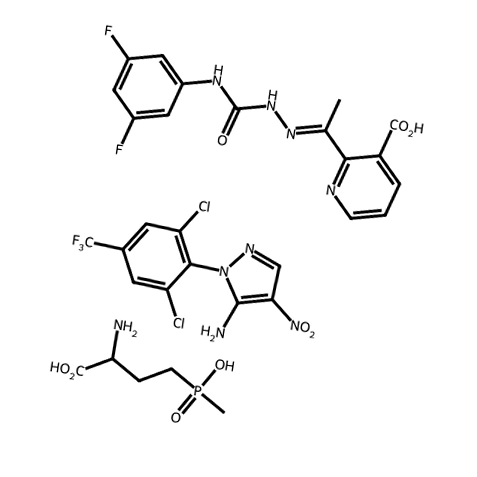 C/C(=N\NC(=O)Nc1cc(F)cc(F)c1)c1ncccc1C(=O)O.CP(=O)(O)CCC(N)C(=O)O.Nc1c([N+](=O)[O-])cnn1-c1c(Cl)cc(C(F)(F)F)cc1Cl